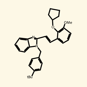 COc1cccc(C=Cc2nc3ccccc3n2Cc2ccc(C(C)(C)C)cc2)c1OC1CCCC1